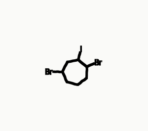 BrC1CCCC(Br)C(I)C1